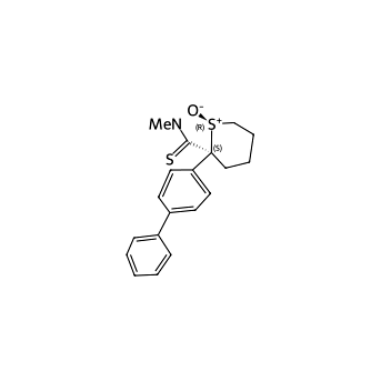 CNC(=S)[C@@]1(c2ccc(-c3ccccc3)cc2)CCCC[S@+]1[O-]